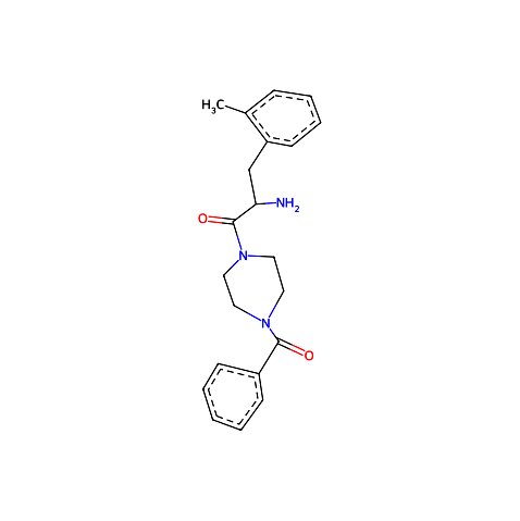 Cc1ccccc1CC(N)C(=O)N1CCN(C(=O)c2ccccc2)CC1